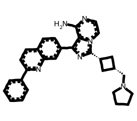 Nc1nccn2c1c(-c1ccc3ccc(-c4ccccc4)nc3c1)nc2[C@H]1C[C@@H](CN2CCCC2)C1